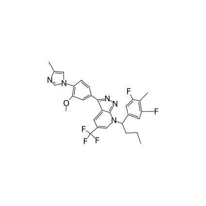 CCCC(c1cc(F)c(C)c(F)c1)n1cc(C(F)(F)F)cc2c(-c3ccc(-n4cnc(C)c4)c(OC)c3)nnc1-2